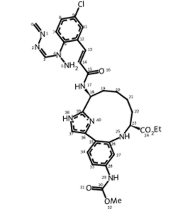 C=N/N=C\N(N)c1ccc(Cl)cc1/C=C/C(=O)N[C@H]1CCCC[C@@H](C(=O)OCC)Nc2cc(NC(=O)OC)ccc2-c2c[nH]c1n2